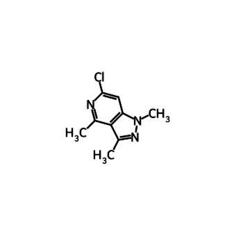 Cc1nc(Cl)cc2c1c(C)nn2C